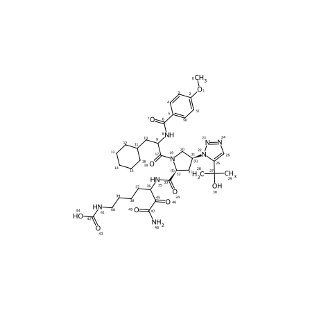 COc1ccc(C(=O)NC(CC2CCCCC2)C(=O)N2C[C@@H](n3nncc3C(C)(C)O)C[C@H]2C(=O)NC(CCCCNC(=O)O)C(=O)C(N)=O)cc1